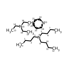 CCCCN(CCCC)CCCC.CCN(CC)CC.c1ccncc1